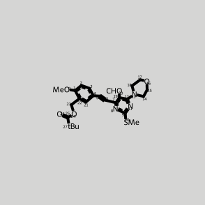 COc1ccc(C#Cc2nc(SC)nc(N3CCOCC3)c2C=O)cc1COC(=O)C(C)(C)C